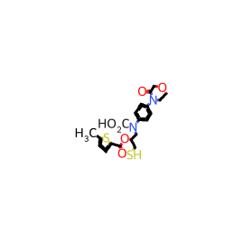 Cc1ccc(C(=O)OC(CS)CN(C(=O)O)c2ccc(N3CCOCC3=O)cc2)s1